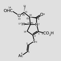 CC(=O)C=CSC1=C(C(=O)O)N2C(=O)[C@H]([C@@H](C)OC=O)[C@H]2C1